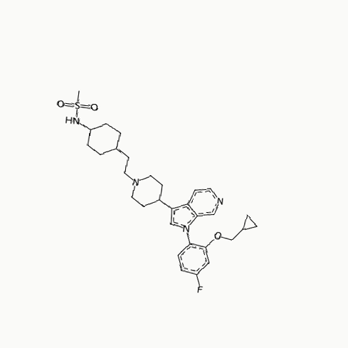 CS(=O)(=O)NC1CCC(CCN2CCC(c3cn(-c4ccc(F)cc4OCC4CC4)c4cnccc34)CC2)CC1